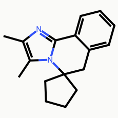 Cc1nc2n(c1C)C1(CCCC1)Cc1ccccc1-2